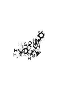 CN(C(=O)C[C@H](NC(=O)NCC1CCCCC1)C(=O)N(CC(=O)O)C1CC1)[C@H]1CCCN(C(=N)N)C1